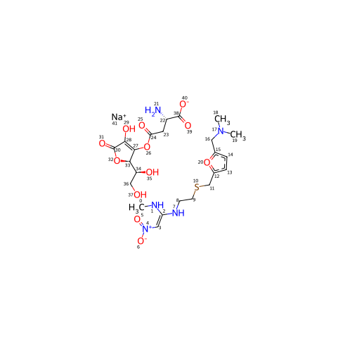 CNC(=C[N+](=O)[O-])NCCSCc1ccc(CN(C)C)o1.N[C@@H](CC(=O)OC1=C(O)C(=O)O[C@@H]1[C@@H](O)CO)C(=O)[O-].[Na+]